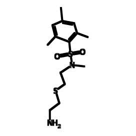 Cc1cc(C)c(S(=O)(=O)N(C)CCSCCN)c(C)c1